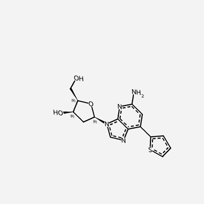 Nc1cc(-c2cccs2)c2ncn([C@H]3C[C@@H](O)[C@@H](CO)O3)c2n1